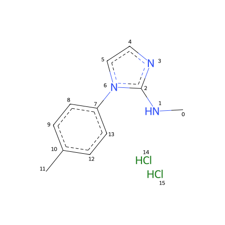 CNc1nccn1-c1ccc(C)cc1.Cl.Cl